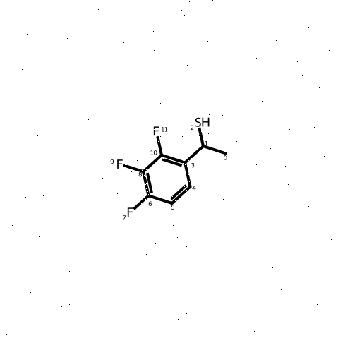 CC(S)c1ccc(F)c(F)c1F